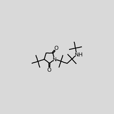 CC(C)(C)NC(C)(C)CC(C)(C)N1C(=O)CC(C(C)(C)C)C1=O